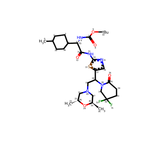 CC1CCC([C@H](NC(=O)OC(C)(C)C)C(=O)Nc2ncc(C(CN3C[C@@H](C)O[C@H](C)C3)N3CC(F)(F)CCC3=O)s2)CC1